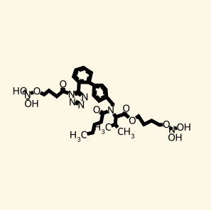 CCCCC(=O)N(Cc1ccc(-c2ccccc2-c2nnnn2C(=O)CCCON(O)O)cc1)C(C(=O)OCCCCON(O)O)C(C)C